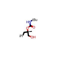 CC(C)C[C@@](C)(CO)OC(=O)NC(C)(C)C